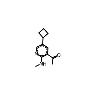 CNc1ncc(C2CCC2)cc1C(C)=O